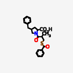 CC(CSC(=O)c1ccccc1)C(=O)N1CC(Cc2ccccc2)CC1C(=O)O